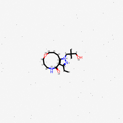 CCc1nn(CC(C)(C)CO)c2c1C(=O)NCCCOCCC2